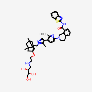 Cc1c(-c2ccc(N3CCc4cccc(C(=O)Nc5nc6ccccc6s5)c4C3)nc2C(=O)O)cnn1CC12CC3(C)CC(C)(C1)CC(OCCNC[C@H](O)[C@@H](O)CO)(C3)C2